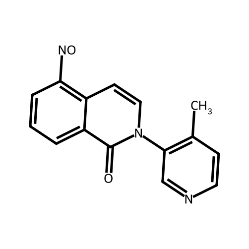 Cc1ccncc1-n1ccc2c(N=O)cccc2c1=O